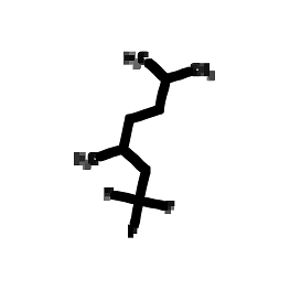 CC(C)CCC(C)CC(F)(F)F